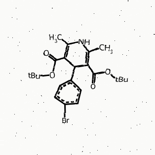 CC1=C(C(=O)OC(C)(C)C)C(c2ccc(Br)cc2)C(C(=O)OC(C)(C)C)=C(C)N1